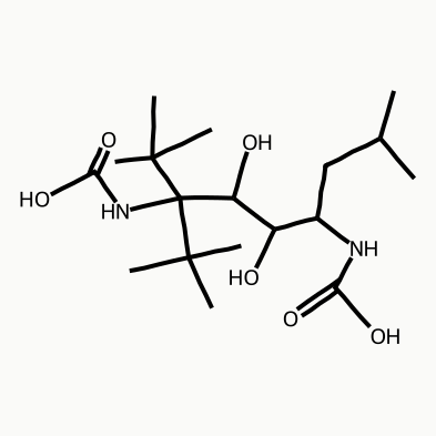 CC(C)CC(NC(=O)O)C(O)C(O)C(NC(=O)O)(C(C)(C)C)C(C)(C)C